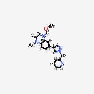 CC(=O)N1c2ccc(-c3cnn(Cc4ccccn4)c3)cc2N(COC(C)C)C[C@@H]1C